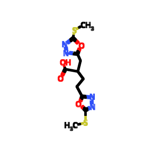 CSc1nnc(CCC(Cc2nnc(SC)o2)C(=O)O)o1